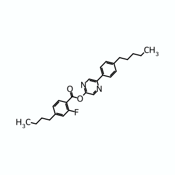 CCCCCc1ccc(-c2cnc(OC(=O)c3ccc(CCCC)cc3F)cn2)cc1